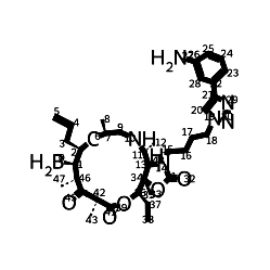 B[C@H]1[C@@H](CC=C)C[C@@H](C)CN[C@H](C)[C@H]2N(CCCCn3cc(-c4cccc(N)c4)nn3)C(=O)O[C@]2(C)[C@@H](CC)OC(=O)[C@H](C)C(=O)[C@@H]1C